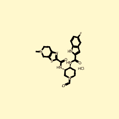 CN1CCc2nc(C(=O)N[C@H]3CN(C=O)CC[C@@H]3NC(=O)c3cc4cc(F)ccc4[nH]3)sc2C1.Cl